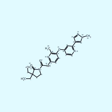 CCC1(CC)CCN(C(=O)Nc2ccc(Oc3ccnc(-c4cnn(C)c4)c3)c(C)n2)C1=O